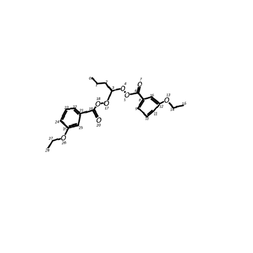 [CH2]CC[C](OOC(=O)c1cccc(OCC)c1)OOC(=O)c1cccc(OCC)c1